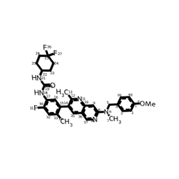 COc1ccc(CN(C)c2cc3nc(C)c(-c4cc(NC(=O)NC5CCC(F)(F)CC5)c(F)cc4C)cc3cn2)cc1